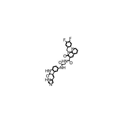 O=C(CNC(=O)c1cc2cccnc2n(Cc2ccc(F)c(F)c2)c1=O)Nc1ccc2c(c1)/C(=C/c1cnc[nH]1)C(=O)N2